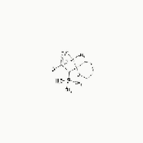 C[Si](C)(C)C(C(=O)O)C1([Si](C)(C)C)CCCCO1